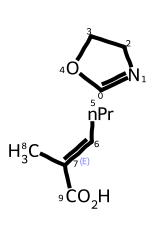 C1=NCCO1.CCC/C=C(\C)C(=O)O